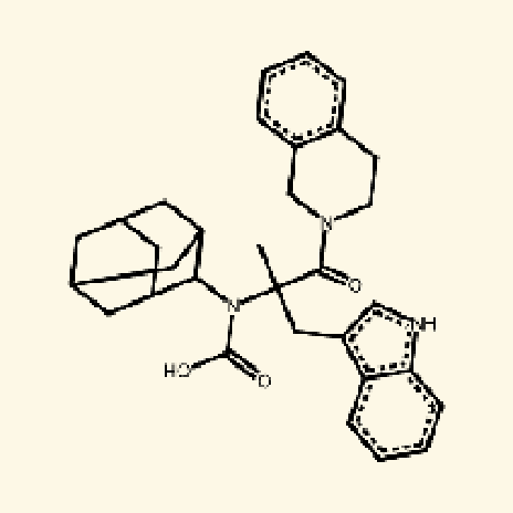 CC(Cc1c[nH]c2ccccc12)(C(=O)N1CCc2ccccc2C1)N(C(=O)O)C1C2CC3CC(C2)CC1C3